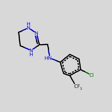 FC(F)(F)c1cc(NCC2=NNCCN2)ccc1Cl